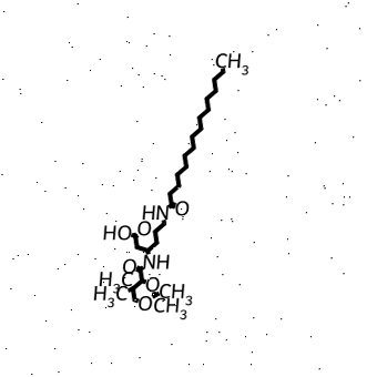 CCCCCCCCCCCCCCCC(=O)NCCCC(CC(=O)O)NC(=O)C1OC(C)(C)OCC1(C)C